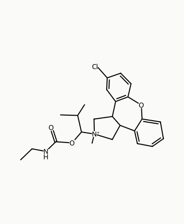 CCNC(=O)OC(C(C)C)[N+]1(C)CC2c3ccccc3Oc3ccc(Cl)cc3C2C1